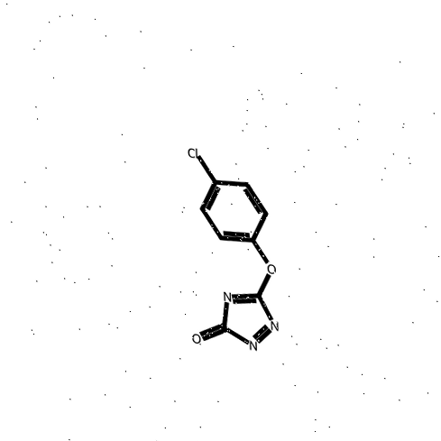 O=C1N=NC(Oc2ccc(Cl)cc2)=N1